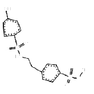 NOS(=O)(=O)c1ccc(CCNS(=O)(=O)c2ccc(N)cc2)cc1